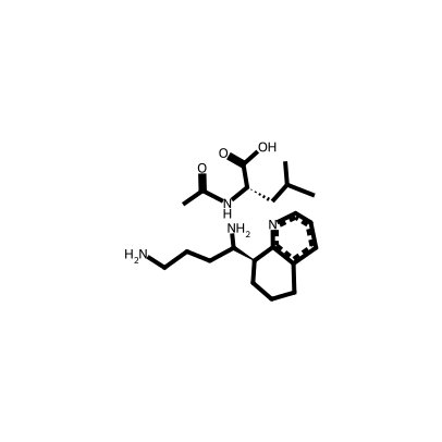 CC(=O)N[C@@H](CC(C)C)C(=O)O.NCCCC(N)[C@@H]1CCCc2cccnc21